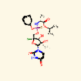 CC(C)OC(=O)[C@@H](C)N[P@](=S)(OC[C@@]1(F)O[C@@H](n2ccc(=O)[nH]c2=O)[C@](C)(O)[C@@H]1O)Oc1ccccc1